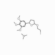 CN(C)C.COc1cc(C2CCC(OCCI)O2)cc(OC)c1OC